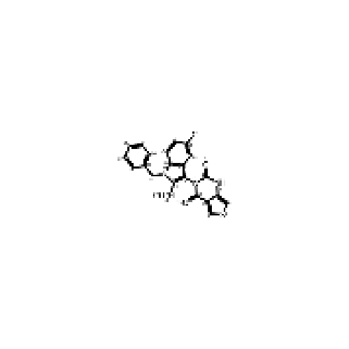 O=C(O)c1c(-n2c(=O)[nH]c3cscc3c2=O)c2cc(Cl)ccc2n1Cc1ccccc1